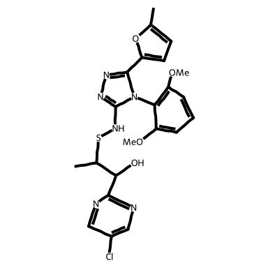 COc1cccc(OC)c1-n1c(NSC(C)C(O)c2ncc(Cl)cn2)nnc1-c1ccc(C)o1